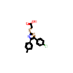 Cc1ccc(-c2nc(SCC(=O)O)sc2-c2ccc(Cl)cc2)cc1